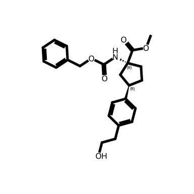 COC(=O)[C@@]1(NC(=O)OCc2ccccc2)CC[C@@H](c2ccc(CCO)cc2)C1